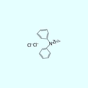 [Cl-].[Cl-].[Zr+2][N](c1ccccc1)c1ccccc1